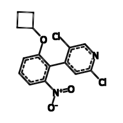 O=[N+]([O-])c1cccc(OC2CCC2)c1-c1cc(Cl)ncc1Cl